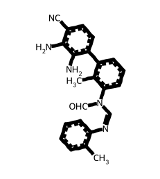 Cc1ccccc1/N=C\N(C=O)c1cccc(-c2ccc(C#N)c(N)c2N)c1C